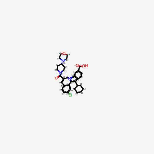 O=C(O)c1ccc2c(C3CCCCC3)c3n(c2c1)CC(C(=O)N1CCC(N2CCOCC2)CC1)=Cc1ccc(Cl)cc1-3